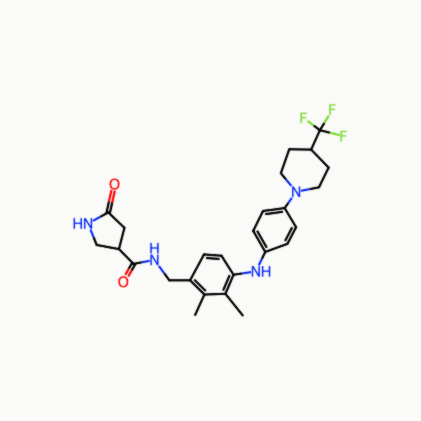 Cc1c(CNC(=O)C2CNC(=O)C2)ccc(Nc2ccc(N3CCC(C(F)(F)F)CC3)cc2)c1C